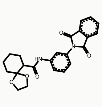 O=C(Nc1cccc(N2C(=O)c3ccccc3C2=O)c1)C1CCCCC12OCCO2